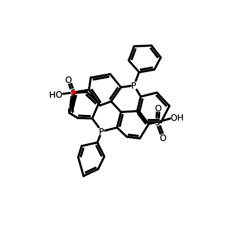 O=S(=O)(O)c1ccc(P(c2ccccc2)c2ccccc2)c(-c2cc(S(=O)(=O)O)ccc2P(c2ccccc2)c2ccccc2)c1